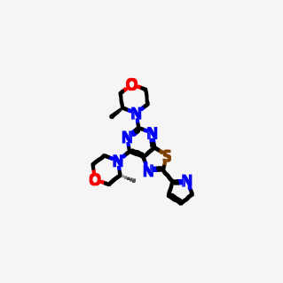 C[C@@H]1COCCN1c1nc(N2CCOC[C@@H]2C)nc2sc(C3=NCC=C3)nc12